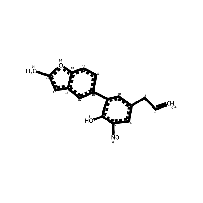 C=CCc1cc(N=O)c(O)c(-c2ccc3oc(C)cc3c2)c1